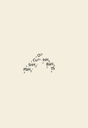 [BaH2].[Cu+2].[InH3].[O-2].[PbH2].[SnH2].[Th]